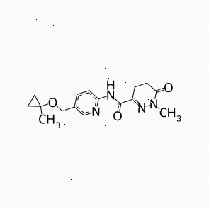 CN1N=C(C(=O)Nc2ccc(COC3(C)CC3)cn2)CCC1=O